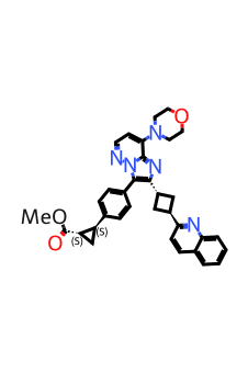 COC(=O)[C@H]1C[C@@H]1c1ccc(-c2c([C@H]3C[C@H](c4ccc5ccccc5n4)C3)nc3c(N4CCOCC4)ccnn23)cc1